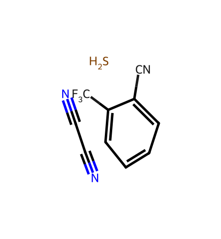 N#CC#N.N#Cc1ccccc1C(F)(F)F.S